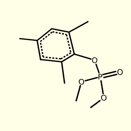 COP(=O)(OC)Oc1c(C)cc(C)cc1C